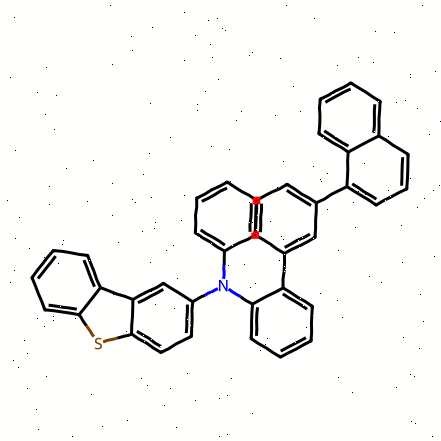 c1ccc(N(c2ccc3sc4ccccc4c3c2)c2ccccc2-c2cccc(-c3cccc4ccccc34)c2)cc1